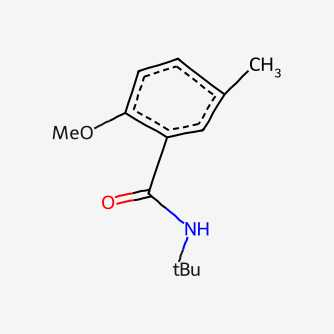 COc1ccc(C)cc1C(=O)NC(C)(C)C